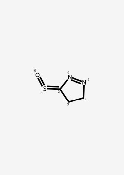 O=S=C1CCN=N1